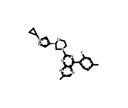 Cc1ccc(-c2nc(N3CCO[C@H](c4cnn(C5CC5)c4)C3)nc3nc(C)cnc23)c(F)c1